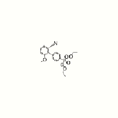 CCOOP(=O)(OOCC)c1ccc(-c2c(C#N)[c]ccc2OC)cc1